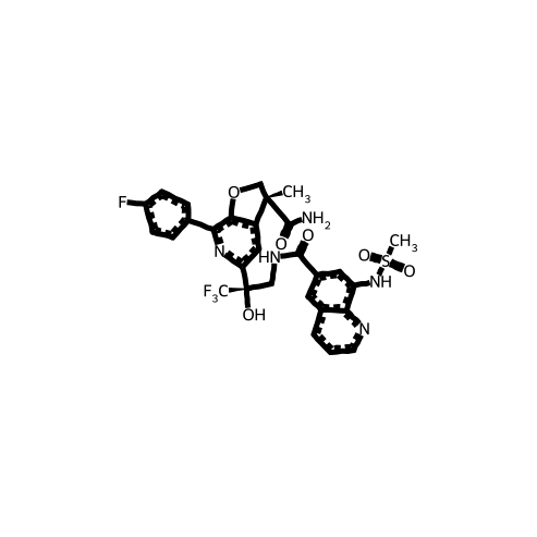 C[C@]1(C(N)=O)COc2c1cc([C@@](O)(CNC(=O)c1cc(NS(C)(=O)=O)c3ncccc3c1)C(F)(F)F)nc2-c1ccc(F)cc1